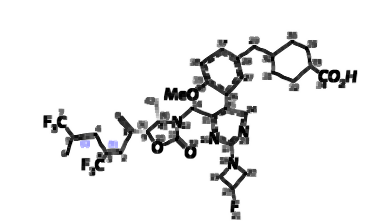 C=C(/C=C(\C=C(/C)C(F)(F)F)C(F)(F)F)[C@H]1OC(=O)N(Cc2nc(N3CC(F)C3)ncc2-c2cc(CC3CCC(C(=O)O)CC3)ccc2OC)[C@H]1C